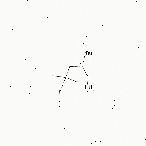 CC(C)(I)CC(CN)C(C)(C)C